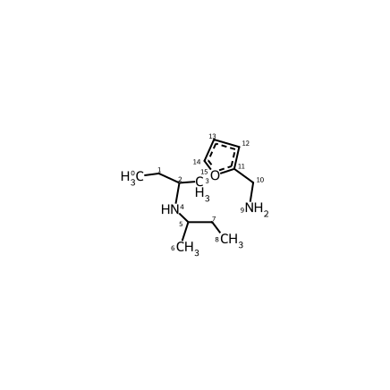 CCC(C)NC(C)CC.NCc1ccco1